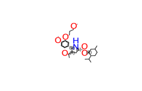 COCCCOc1cc([C@@H]2N[C@H](C(=O)O[C@@H]3CC(C)CCC3C(C)C)C[C@H]2C(C)=O)ccc1OC